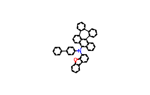 c1ccc(-c2ccc(N(c3c4ccccc4c4c5c(cccc35)-c3ccccc3-c3ccccc3-4)c3cccc4c3oc3ccccc34)cc2)cc1